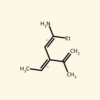 C=C(C)C(/C=C(/N)CC)=C/C